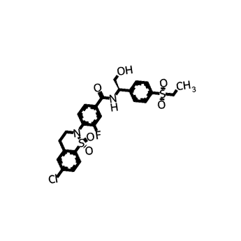 CCS(=O)(=O)c1ccc([C@H](CO)NC(=O)c2ccc(N3CCc4cc(Cl)ccc4S3(=O)=O)c(F)c2)cc1